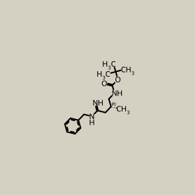 C[C@@H](CNC(=O)OC(C)(C)C)CC(=N)NCc1ccccc1